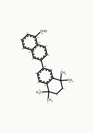 CC1(C)CCC(C)(C)c2cc(-c3ccc4c(C=O)cccc4c3)ccc21